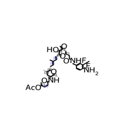 CC(=O)O[C@@H](C)/C=C\C(=O)N[C@@H]1C[C@H](C)[C@H](C/C=C(C)/C=C/[C@H]2O[C@H](CC(=O)NCc3ccc(N)c(C(C)(F)F)c3)C[C@@]3(CO3)[C@@H]2O)O[C@@H]1C